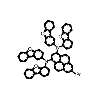 CC(C)c1cc2ccc3c(N(c4ccc5oc6ccccc6c5c4)c4cccc5c4oc4ccccc45)cc(N(c4ccc5oc6ccccc6c5c4)c4cccc5c4oc4ccccc45)c4ccc(c1)c2c34